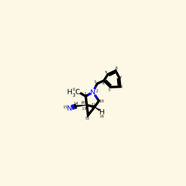 CC1N(Cc2ccccc2)C[C@@H]2C[C@]12C#N